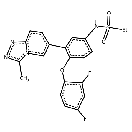 CCS(=O)(=O)Nc1ccc(Oc2ccc(F)cc2F)c(-c2ccc3nnc(C)n3c2)c1